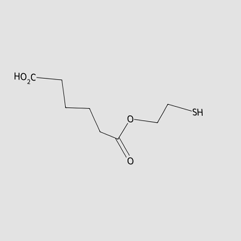 O=C(O)CCCCC(=O)OCCS